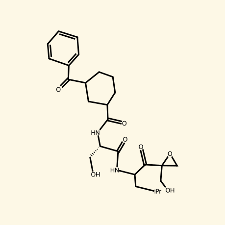 CC(C)CC(NC(=O)[C@H](CO)NC(=O)C1CCCC(C(=O)c2ccccc2)C1)C(=O)C1(CO)CO1